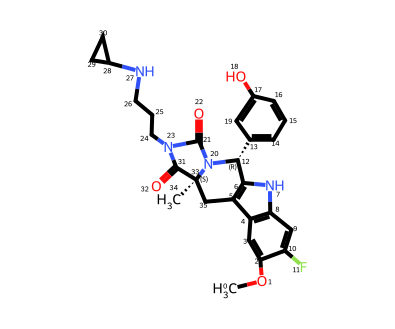 COc1cc2c3c([nH]c2cc1F)[C@@H](c1cccc(O)c1)N1C(=O)N(CCCNC2CC2)C(=O)[C@]1(C)C3